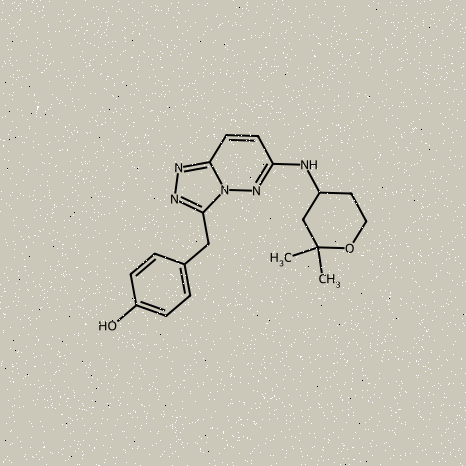 CC1(C)CC(Nc2ccc3nnc(Cc4ccc(O)cc4)n3n2)CCO1